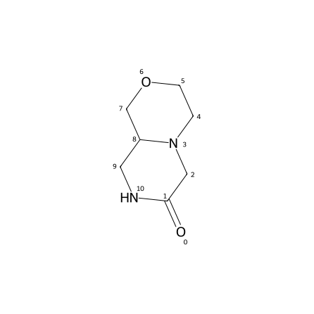 O=C1CN2CCOCC2CN1